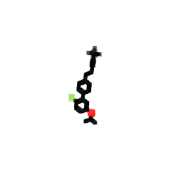 CC(C)Oc1ccc(F)c(-c2ccc(CCC#C[Si](C)(C)C)cc2)c1